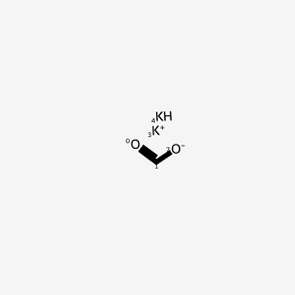 O=C[O-].[K+].[KH]